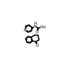 O=C(O)Nc1ccncc1.O=C1CCCc2ccccc21